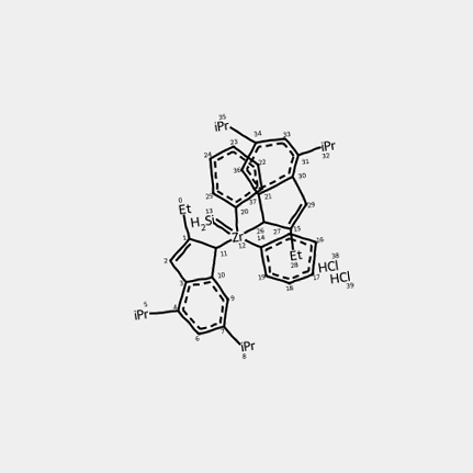 CCC1=Cc2c(C(C)C)cc(C(C)C)cc2[CH]1[Zr](=[SiH2])([c]1ccccc1)([c]1ccccc1)[CH]1C(CC)=Cc2c(C(C)C)cc(C(C)C)cc21.Cl.Cl